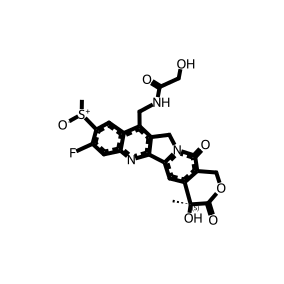 C[S+]([O-])c1cc2c(CNC(=O)CO)c3c(nc2cc1F)-c1cc2c(c(=O)n1C3)COC(=O)[C@@]2(C)O